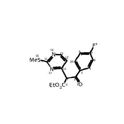 CCOC(=O)C(C(=O)c1ccc(F)cc1)c1ccnc(SC)n1